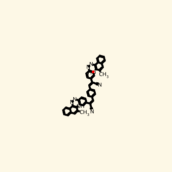 Cc1cc2ccccc2c(/N=N\c2ccc(C(C#N)=Cc3ccc(/C=C(/C#N)c4ccc(/N=N\c5c(O)c(C)cc6ccccc56)cc4)cc3)cc2)c1O